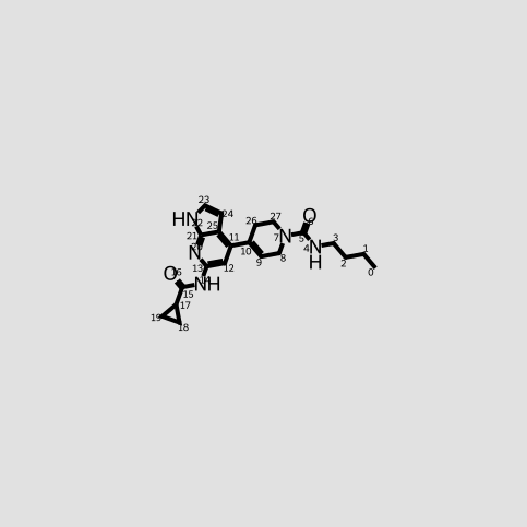 CCCCNC(=O)N1CC=C(c2cc(NC(=O)C3CC3)nc3[nH]ccc23)CC1